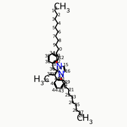 CCCCCCCCCCCCCCN1C=CN(CCCCCCCCCCC)C1(Cc1ccccc1)C(CC)c1ccccc1